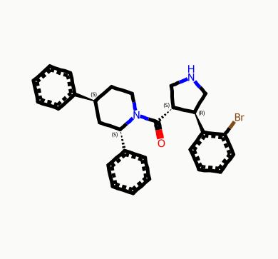 O=C([C@@H]1CNC[C@H]1c1ccccc1Br)N1CC[C@H](c2ccccc2)C[C@H]1c1ccccc1